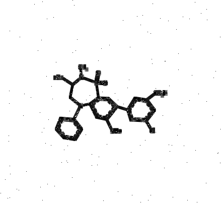 CCCCC1CN(c2ccccc2)c2cc(SC)c(-c3cc(Cl)cc(C(=O)O)c3)cc2S(=O)(=O)N1C